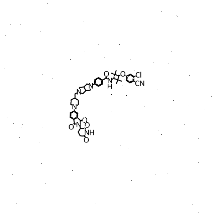 CC1(C)C(NC(=O)c2ccc(N3CC4CN(CC5CCN(c6ccc7c(c6)C(=O)N(C6CCC(=O)NC6=O)C7=O)CC5)CC4C3)cc2)C(C)(C)C1Oc1ccc(C#N)c(Cl)c1